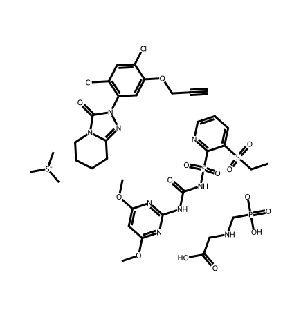 C#CCOc1cc(-n2nc3n(c2=O)CCCC3)c(Cl)cc1Cl.CCS(=O)(=O)c1cccnc1S(=O)(=O)NC(=O)Nc1nc(OC)cc(OC)n1.C[S+](C)C.O=C(O)CNCP(=O)([O-])O